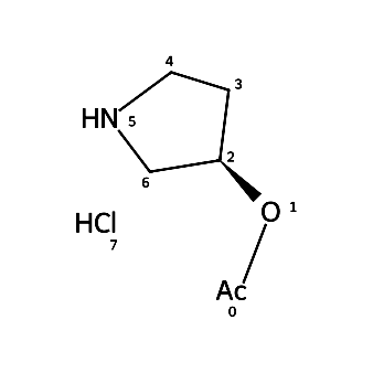 CC(=O)O[C@@H]1CCNC1.Cl